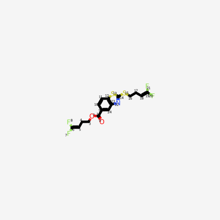 O=C(OCCC=C(F)F)c1ccc2sc(SCCC=C(F)F)nc2c1